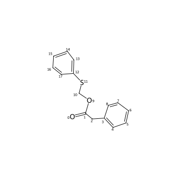 O=C(Cc1ccccc1)OCSc1ccccc1